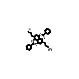 CC(C)CCCc1cc2c3c(c(CCCC(C)C)cc4c3c1N=C(c1ccccc1)S4)N=C(c1ccccc1)S2